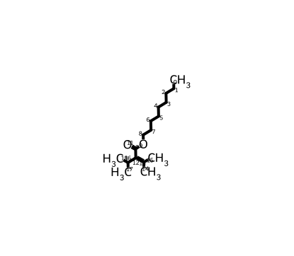 CCCCCCCCCOC(=O)C(=C(C)C)C(C)C